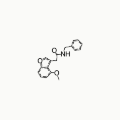 COc1cccc2occ(CC(=O)NCc3ccccc3)c12